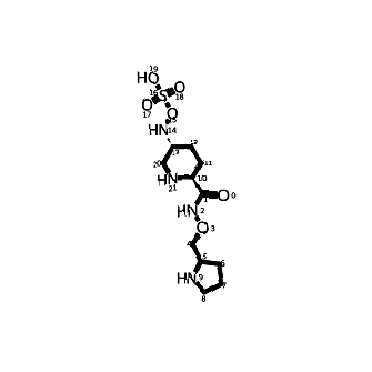 O=C(NOCC1CCCN1)[C@@H]1CC[C@@H](NOS(=O)(=O)O)CN1